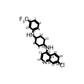 FC(F)(F)c1cccc(NC2CCC(Nc3ccnc4cc(Cl)ccc34)CC2)c1